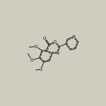 COc1cc2nc(-c3cccnc3)oc(=O)c2c(OC)c1OC